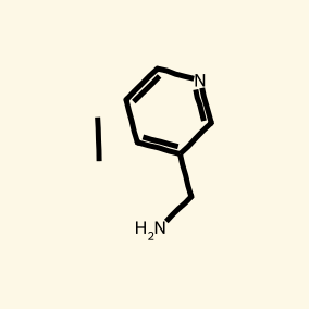 CC.NCc1cccnc1